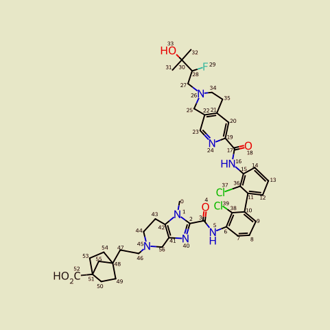 Cn1c(C(=O)Nc2cccc(-c3cccc(NC(=O)c4cc5c(cn4)CN(CC(F)C(C)(C)O)CC5)c3Cl)c2Cl)nc2c1CCN(CCC13CCC(C(=O)O)(CC1)C3)C2